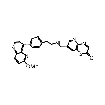 COc1ccc2nccc(-c3ccc(CCNCc4cnc5ncc(=O)sc5c4)cc3)c2n1